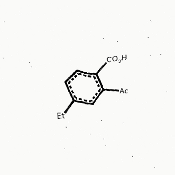 CCc1ccc(C(=O)O)c(C(C)=O)c1